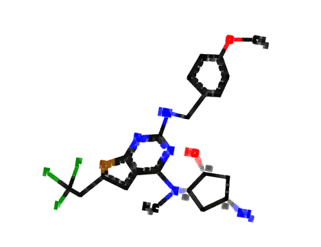 COc1ccc(CNc2nc(N(C)[C@H]3C[C@@H](N)C[C@H]3O)c3cc(CC(F)(F)F)sc3n2)cc1